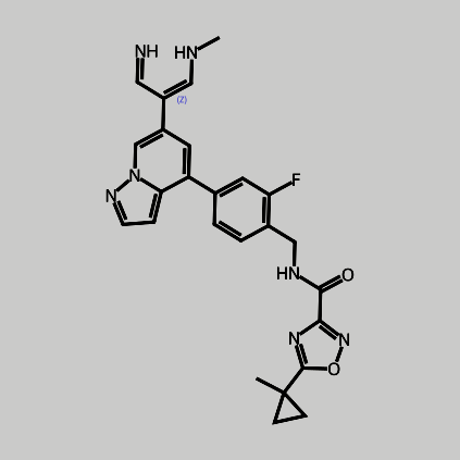 CN/C=C(\C=N)c1cc(-c2ccc(CNC(=O)c3noc(C4(C)CC4)n3)c(F)c2)c2ccnn2c1